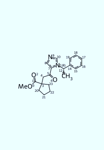 COC(=O)C1(CC(=O)c2cncn2[C@H](C)c2ccccc2)CCCC1